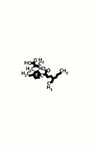 C=Cc1ccccc1.CC=C(C)C(=O)O.CCCCC(CC)CC=C(C)C(=O)O